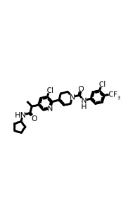 CC(C(=O)NC1CCCC1)c1cnc(C2=CCN(C(=O)Nc3ccc(C(F)(F)F)c(Cl)c3)CC2)c(Cl)c1